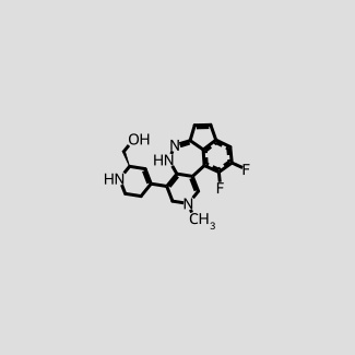 CN1C=C2C(=C(C3=C[C@H](CO)NCC3)C1)NN=C1C=Cc3cc(F)c(F)c2c31